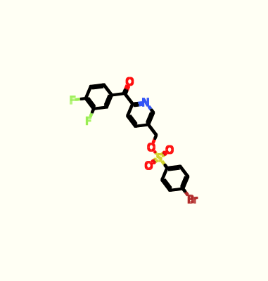 O=C(c1ccc(F)c(F)c1)c1ccc(COS(=O)(=O)c2ccc(Br)cc2)cn1